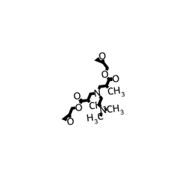 CC(CN(CCN(C)C)CC(C)C(=O)OCC1CO1)C(=O)OCC1CO1